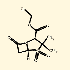 CC1(C)[C@H](C(=O)OCCl)N2C(=O)C[C@H]2S1(=O)=O